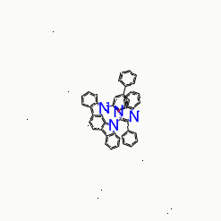 c1ccc(-c2cccc(-n3c4ccccc4c4ccc5c6ccccc6n(-c6nc7ccccc7nc6-c6ccccc6)c5c43)c2)cc1